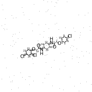 O=C(COc1ccc(Cl)cc1)N[C@H]1CC[C@@H](NC(=O)COc2ccc(Cl)cc2Cl)CC1